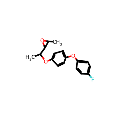 CC(Oc1ccc(Oc2ccc(F)cc2)cc1)C1OC1C